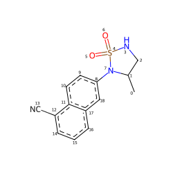 CC1CNS(=O)(=O)N1c1ccc2c(C#N)cccc2c1